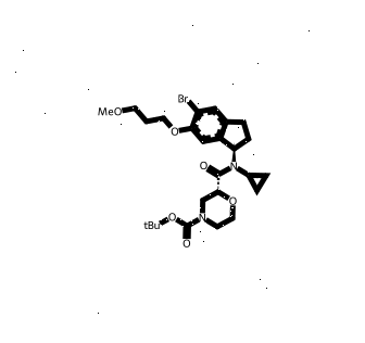 COCCCOc1cc2c(cc1Br)CC[C@H]2N(C(=O)[C@H]1CN(C(=O)OC(C)(C)C)CCO1)C1CC1